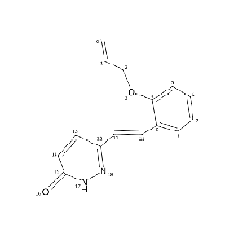 C=CCOc1ccccc1C=Cc1ccc(=O)[nH]n1